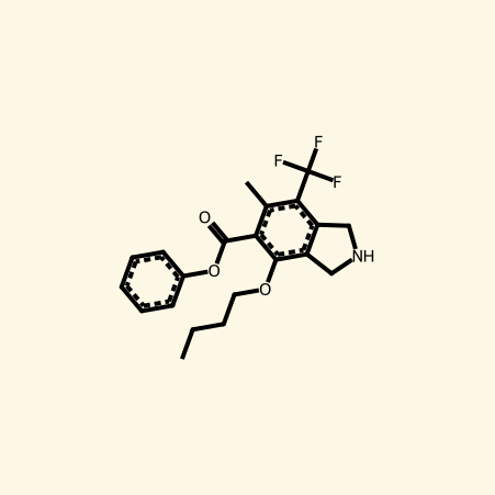 CCCCOc1c2c(c(C(F)(F)F)c(C)c1C(=O)Oc1ccccc1)CNC2